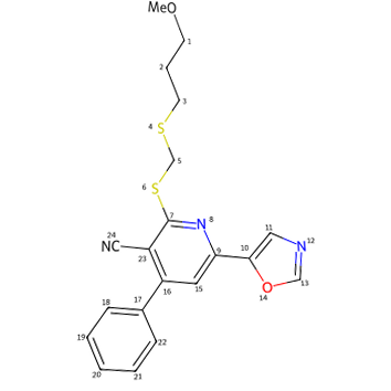 COCCCSCSc1nc(-c2cnco2)cc(-c2ccccc2)c1C#N